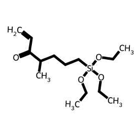 C=CC(=O)C(C)CCC[Si](OCC)(OCC)OCC